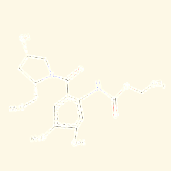 COC[C@@H]1C[C@H](O)CN1C(=O)c1cc(OC)c(OC(C)=O)cc1NC(=O)OCC(Cl)(Cl)Cl